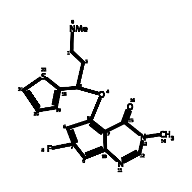 CNCCC(Oc1cc(F)cc2ncn(C)c(=O)c12)c1cccs1